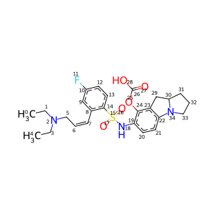 CCN(CC)C/C=C\c1cc(F)ccc1S(=O)(=O)Nc1ccc2c(c1OC(=O)O)CC1CCCN21